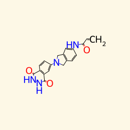 C=CC(=O)Nc1ccc2c(c1)CN(c1ccc3c(=O)[nH][nH]c(=O)c3c1)C2